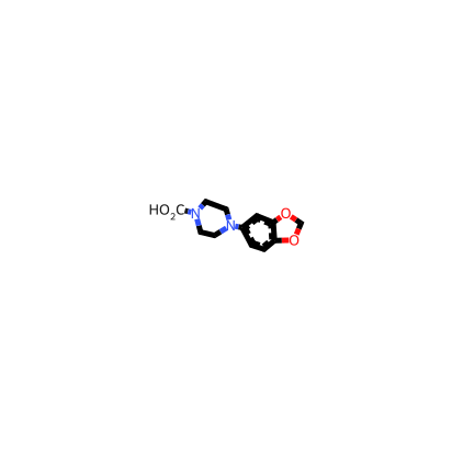 O=C(O)N1CCN(c2ccc3c(c2)OCO3)CC1